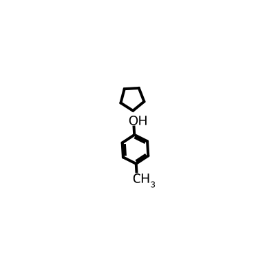 C1CCCC1.Cc1ccc(O)cc1